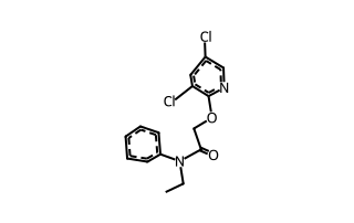 CCN(C(=O)COc1ncc(Cl)cc1Cl)c1ccccc1